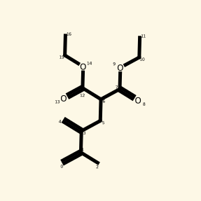 C=C(C)C(=C)CC(C(=O)OCC)C(=O)OCC